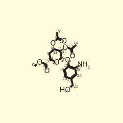 COC(=O)[C@@H]1C[C@H](OC(C)=O)[C@@H](OC(C)=O)[C@H](Oc2ccc(CO)cc2N)O1